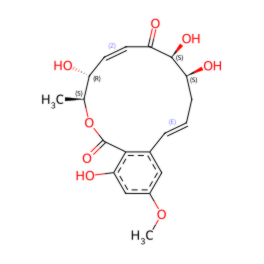 COc1cc(O)c2c(c1)/C=C/C[C@H](O)[C@H](O)C(=O)/C=C\[C@@H](O)[C@H](C)OC2=O